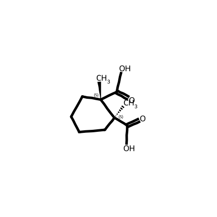 C[C@]1(C(=O)O)CCCC[C@]1(C)C(=O)O